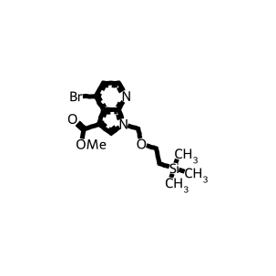 COC(=O)c1cn(COCC[Si](C)(C)C)c2nccc(Br)c12